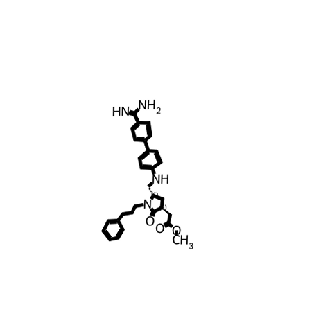 COC(=O)C[C@@H]1C[C@@H](CNc2ccc(-c3ccc(C(=N)N)cc3)cc2)N(CCCc2ccccc2)C1=O